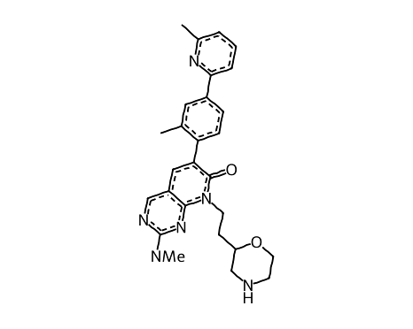 CNc1ncc2cc(-c3ccc(-c4cccc(C)n4)cc3C)c(=O)n(CCC3CNCCO3)c2n1